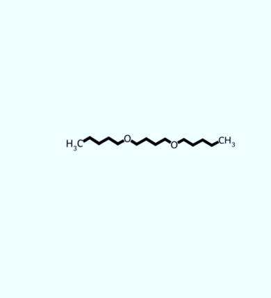 CCCCCOCCCCOCCCCC